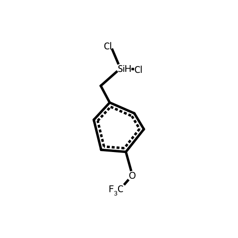 FC(F)(F)Oc1ccc(C[SiH](Cl)Cl)cc1